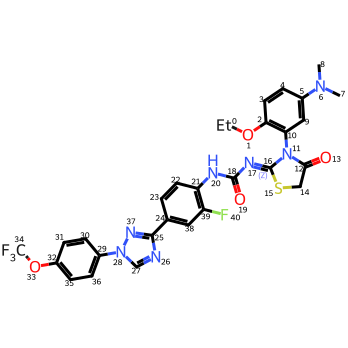 CCOc1ccc(N(C)C)cc1N1C(=O)CS/C1=N\C(=O)Nc1ccc(-c2ncn(-c3ccc(OC(F)(F)F)cc3)n2)cc1F